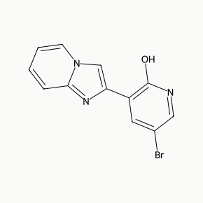 Oc1ncc(Br)cc1-c1cn2ccccc2n1